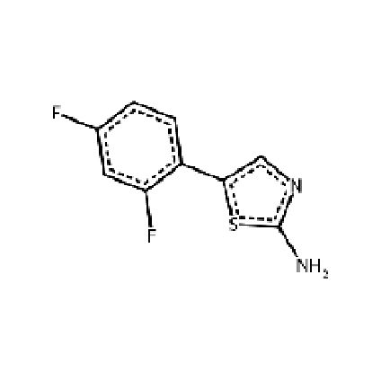 Nc1ncc(-c2ccc(F)cc2F)s1